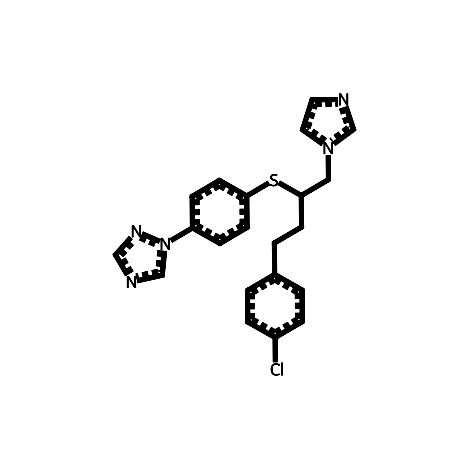 Clc1ccc(CCC(Cn2ccnc2)Sc2ccc(-n3cncn3)cc2)cc1